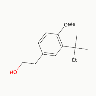 CCC(C)(C)c1cc(CCO)ccc1OC